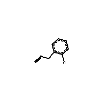 C=CCc1[c]cccc1Cl